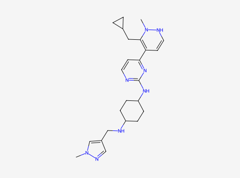 CN1NC=CC(c2ccnc(NC3CCC(NCc4cnn(C)c4)CC3)n2)=C1CC1CC1